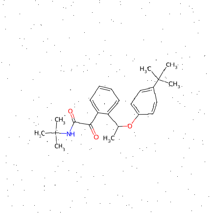 CC(Oc1ccc(C(C)(C)C)cc1)c1ccccc1C(=O)C(=O)NC(C)(C)C